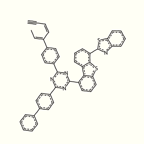 C#C/C=C\C(=C/C)c1ccc(-c2nc(-c3ccc(-c4ccccc4)cc3)nc(-c3cccc4sc5c(-c6nc7ccccc7s6)cccc5c34)n2)cc1